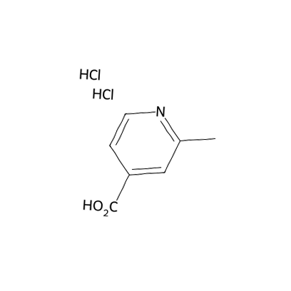 Cc1cc(C(=O)O)ccn1.Cl.Cl